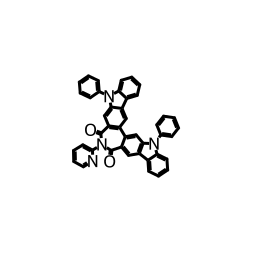 O=c1c2cc3c(cc2c2cc4c(cc2c(=O)n1-c1ccccn1)c1ccccc1n4-c1ccccc1)c1ccccc1n3-c1ccccc1